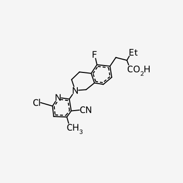 CCC(Cc1ccc2c(c1F)CCN(c1nc(Cl)cc(C)c1C#N)C2)C(=O)O